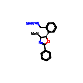 CNC1N=C(c2ccccc2)O[C@H]1c1ccccc1CN=[N+]=[N-]